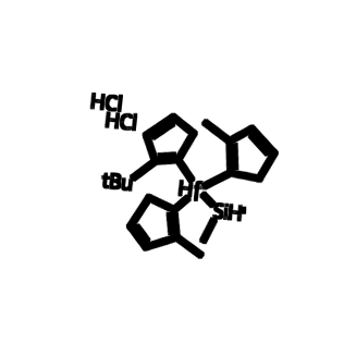 CC1=[C]([Hf]([C]2=C(C)C=CC2)([C]2=C(C(C)(C)C)C=CC2)[SiH](C)C)CC=C1.Cl.Cl